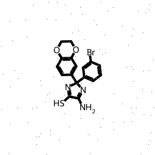 NC1=NC(c2cccc(Br)c2)(c2ccc3c(c2)OCCO3)N=C1S